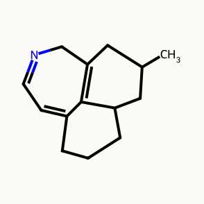 CC1CC2=C3C(=CC=NC2)CCCC3C1